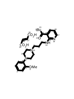 COc1ccccc1N1CCN(CCCNc2ncccc2C(=O)C(C)(C)C)CC1.O=C(O)C=CC(=O)O